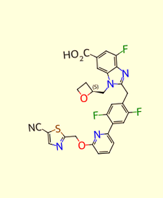 N#Cc1cnc(COc2cccc(-c3cc(F)c(Cc4nc5c(F)cc(C(=O)O)cc5n4C[C@@H]4CCO4)cc3F)n2)s1